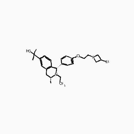 CCC1CN(CCOc2ccc([C@H]3c4ccc(C(C)(C)O)cc4C[C@H](C)N3CC(F)(F)F)cc2)C1